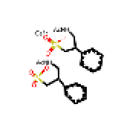 CC(=O)NCC(CS(=O)(=O)[O-])c1ccccc1.CC(=O)NCC(CS(=O)(=O)[O-])c1ccccc1.[Ca+2]